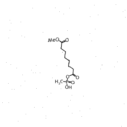 COC(=O)CCCCCCC(=O)OP(C)(=O)O